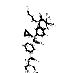 CCOC[C@@H](CC(C)C)NC(=O)[C@@H]1CNC[C@H](C(=O)N(c2ccc3c(c2)N(CCCF)C(=O)C(C)(C)O3)C2CC2)C1